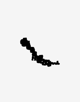 COP(=O)(O)OCCOCCOCCOCCCNC(=O)OC1CCC2(C)C(=CCC3C2CCC2(C)C(CCCCC(C)C)CCC32)C1